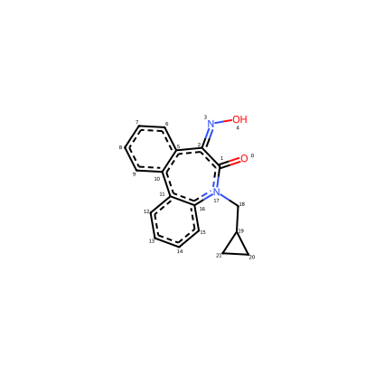 O=c1c(=NO)c2ccccc2c2ccccc2n1CC1CC1